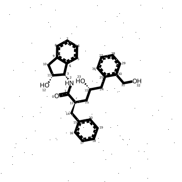 O=C(N[C@H]1c2ccccc2C[C@H]1O)[C@H](Cc1ccccc1)C[C@H](O)Cc1ccccc1CO